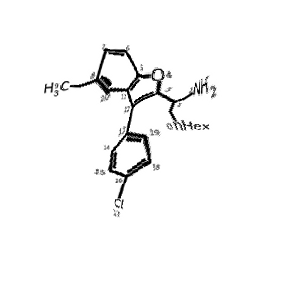 CCCCCCC(N)c1oc2ccc(C)cc2c1-c1ccc(Cl)cc1